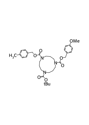 COc1ccc(COC(=O)N2CCCN(C(=O)OCc3ccc(C)cc3)CCCN(C(=O)OC(C)(C)C)CCC2)cc1